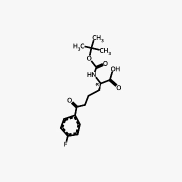 CC(C)(C)OC(=O)N[C@H](CCCC(=O)c1ccc(F)cc1)C(=O)O